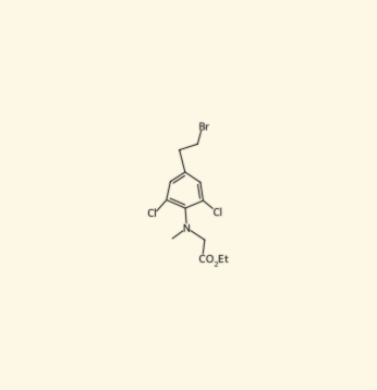 CCOC(=O)CN(C)c1c(Cl)cc(CCBr)cc1Cl